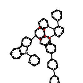 c1ccc(-c2ccc(-c3ccc(N(c4cccc(-c5ccc6c7ccccc7n(-c7ccccc7)c6c5)c4)c4cccc(-c5ccccc5)c4-c4ccccc4-c4ccccc4)cc3)cc2)cc1